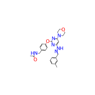 CC(=O)NCc1ccc(Oc2nc(NN=Cc3cccc(C)c3)cc(N3CCOCC3)n2)cc1